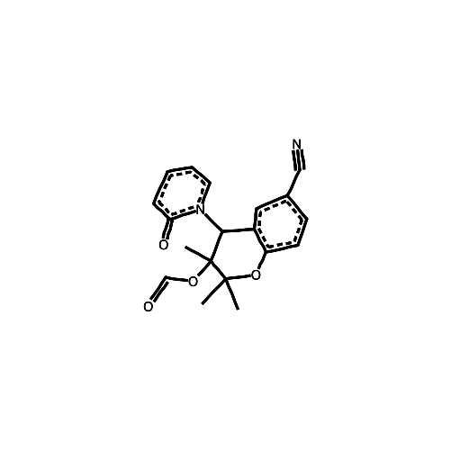 CC1(C)Oc2ccc(C#N)cc2C(n2ccccc2=O)C1(C)OC=O